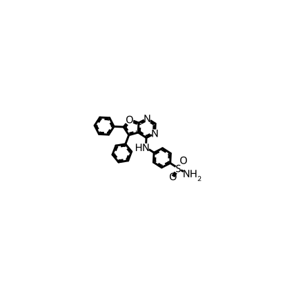 NS(=O)(=O)c1ccc(Nc2ncnc3oc(-c4ccccc4)c(-c4ccccc4)c23)cc1